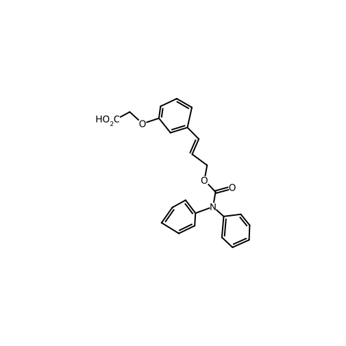 O=C(O)COc1cccc(C=CCOC(=O)N(c2ccccc2)c2ccccc2)c1